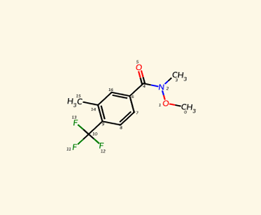 CON(C)C(=O)c1ccc(C(F)(F)F)c(C)c1